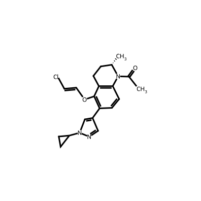 CC(=O)N1c2ccc(-c3cnn(C4CC4)c3)c(OC=CCl)c2CC[C@@H]1C